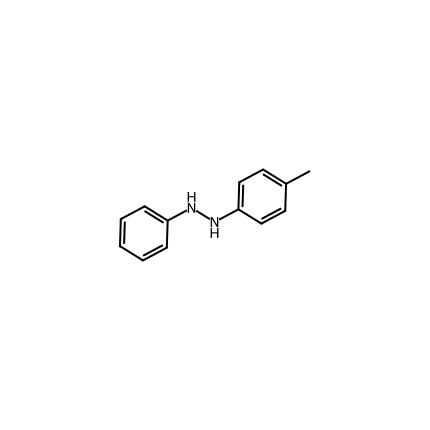 Cc1ccc(NNc2ccccc2)cc1